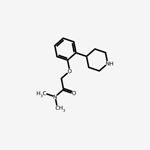 CN(C)C(=O)COc1ccccc1C1CCNCC1